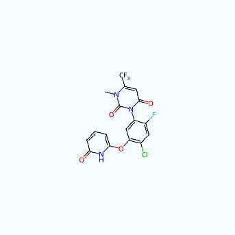 Cn1c(C(F)(F)F)cc(=O)n(-c2cc(Oc3cccc(=O)[nH]3)c(Cl)cc2F)c1=O